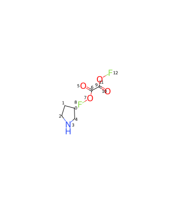 C1CCNC1.O=C(OF)C(=O)OF